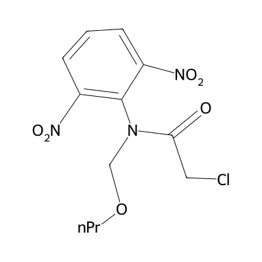 CCCOCN(C(=O)CCl)c1c([N+](=O)[O-])cccc1[N+](=O)[O-]